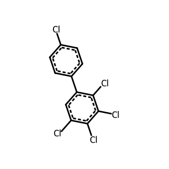 Clc1ccc(-c2cc(Cl)c(Cl)c(Cl)c2Cl)cc1